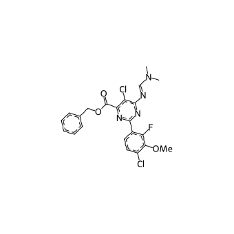 COc1c(Cl)ccc(-c2nc(/N=C/N(C)C)c(Cl)c(C(=O)OCc3ccccc3)n2)c1F